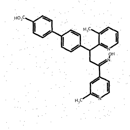 Cc1cc(/C(CC(c2ccc(-c3ccc(C(=O)O)cc3)cc2)c2ncccc2C)=N/O)ccn1